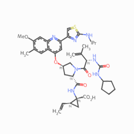 C=C[C@@H]1C[C@]1(NC(=O)[C@@H]1C[C@@H](Oc2cc(-c3csc(NC(C)C)n3)nc3cc(OC)c(C)cc23)CN1C(=O)[C@@H](NC(=O)NC1CCCC1)C(=C)C)C(=O)O